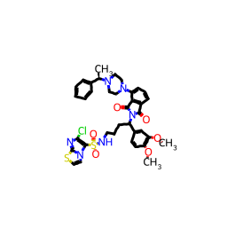 COc1ccc(C(CCCNS(=O)(=O)c2c(Cl)nc3sccn23)N2C(=O)c3cccc(N4CCN([C@H](C)c5ccccc5)CC4)c3C2=O)cc1OC